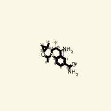 CC(=O)N1c2ccc(C(N)=O)cc2[C@H](N)[C@@H](C)[C@H]1C1(C)CC1